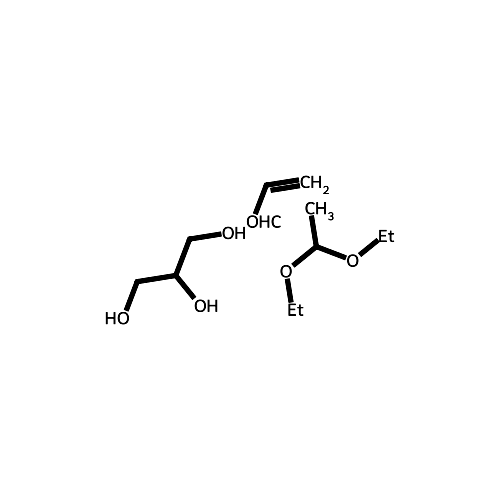 C=CC=O.CCOC(C)OCC.OCC(O)CO